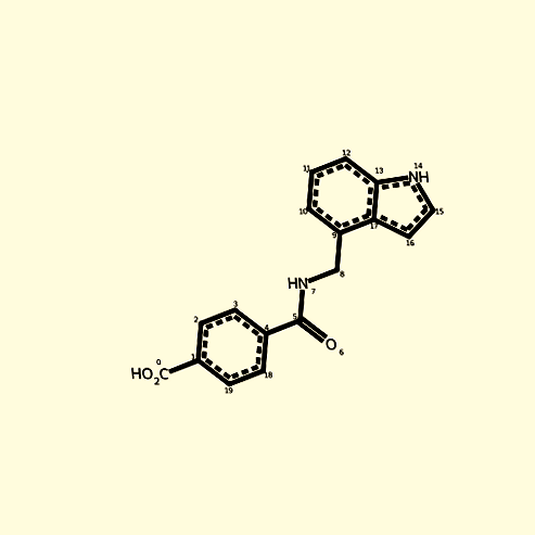 O=C(O)c1ccc(C(=O)NCc2c[c]cc3[nH]ccc23)cc1